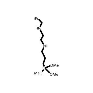 CO[Si](CCCNCCNCC(C)C)(OC)OC